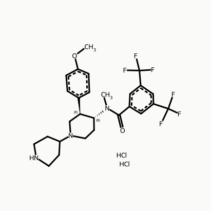 COc1ccc([C@@H]2CN(C3CCNCC3)CC[C@H]2N(C)C(=O)c2cc(C(F)(F)F)cc(C(F)(F)F)c2)cc1.Cl.Cl